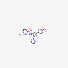 O=C(Nc1cc(C2CCN(C(=O)O)CC2)nn1-c1ccccn1)c1cccc(Br)n1